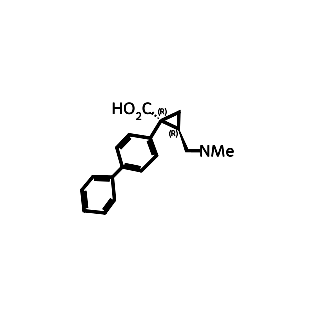 CNC[C@@H]1C[C@]1(C(=O)O)c1ccc(-c2ccccc2)cc1